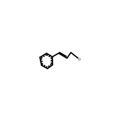 [O]C/C=C/c1ccccc1